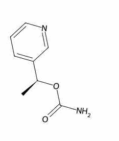 C[C@H](OC(N)=O)c1cccnc1